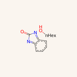 CCCCCCO.O=C1N=c2ccccc2=N1